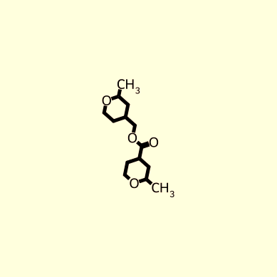 CC1CC(COC(=O)C2CCOC(C)C2)CCO1